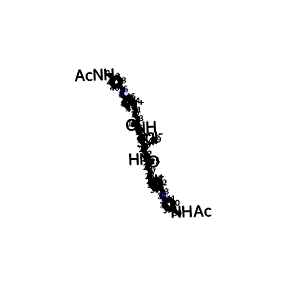 CC(=O)Nc1ccc(/C=C/c2cc[n+](CCCC(=O)NCCSSCCNC(=O)CCC[n+]3ccc(/C=C/c4ccc(NC(C)=O)cc4)cc3)cc2)cc1.[Cl-].[Cl-]